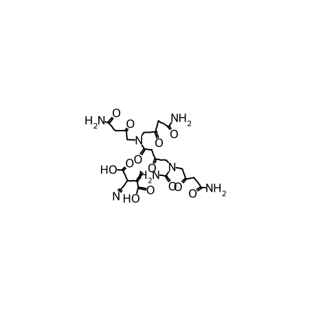 C=C(C(=O)O)C(C#N)C(=O)O.NC(=O)CC(=O)CN(CC(=O)CC(=O)N(CC(=O)CC(N)=O)CC(=O)CC(N)=O)C(N)=O